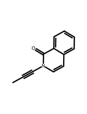 CC#Cn1ccc2ccccc2c1=O